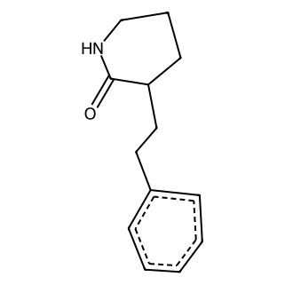 O=C1NCCCC1CCc1ccccc1